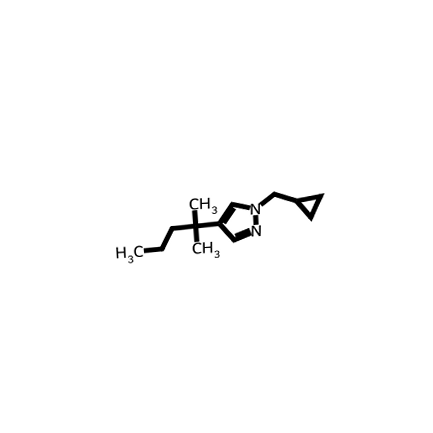 CCCC(C)(C)c1cnn(CC2CC2)c1